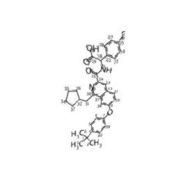 CC(C)(C)c1ccc(Oc2ccc3cc(C(=O)NC(C(=O)O)c4ccc(F)cc4)nc(CC4CCCC4)c3c2)cc1